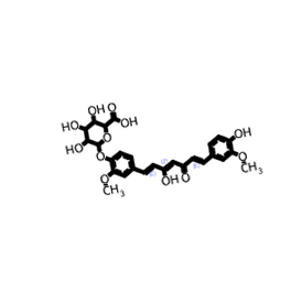 COc1cc(/C=C/C(=O)/C=C(O)/C=C/c2ccc(OC3OC(C(=O)O)C(O)C(O)C3O)c(OC)c2)ccc1O